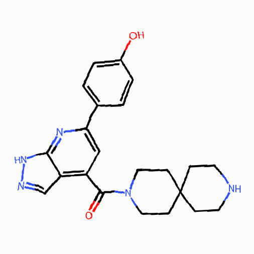 O=C(c1cc(-c2ccc(O)cc2)nc2[nH]ncc12)N1CCC2(CCNCC2)CC1